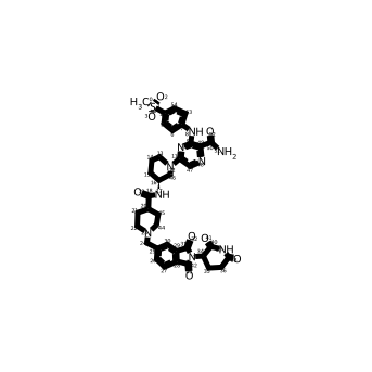 CS(=O)(=O)c1ccc(Nc2nc(N3CCC[C@@H](NC(=O)C4CCN(Cc5ccc6c(c5)C(=O)N(C5CCC(=O)NC5=O)C6=O)CC4)C3)cnc2C(N)=O)cc1